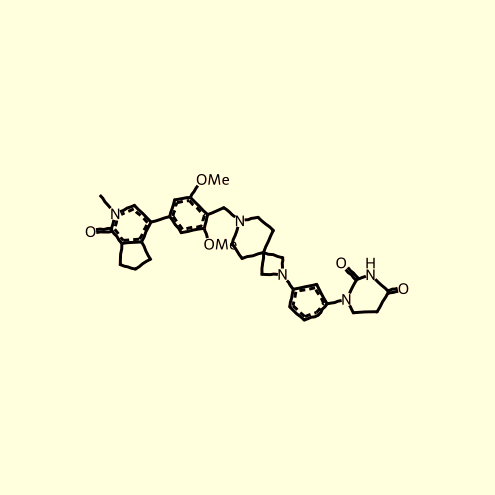 COc1cc(-c2cn(C)c(=O)c3c2CCC3)cc(OC)c1CN1CCC2(CC1)CN(c1cccc(N3CCC(=O)NC3=O)c1)C2